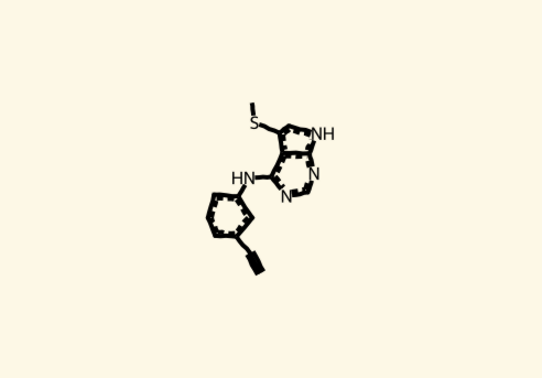 C#Cc1cccc(Nc2ncnc3[nH]cc(SC)c23)c1